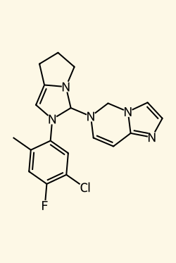 Cc1cc(F)c(Cl)cc1N1C=C2CCCN2C1N1C=Cc2nccn2C1